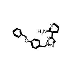 Nc1ncccc1-c1cnn(Cc2ccc(OCc3ccccc3)cc2)n1